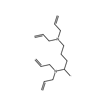 [CH2]C(CCCN(CC=C)CC=C)N(CC=C)CC=C